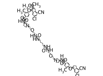 Cc1cc(S(=O)(=O)N[C@@H]2CCN(CCOCCNC(=O)NCCCCNC(=O)NCCOCCN3CC[C@@H](NS(=O)(=O)c4ccc(O[C@H]5c6cc(Cl)cc(C#N)c6C[C@@H]5N(C)C)c(C)c4)C3)C2)ccc1O[C@@H]1CCc2c(C#N)cc(Cl)cc21